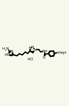 CCCCCCCc1ccc(C(=O)NCCn2cc(CCCCCc3c[nH]c(N)n3)nn2)cc1.Cl